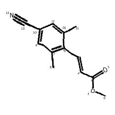 COC(=O)C=Cc1c(C)cc(C#N)cc1C